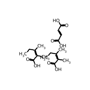 CCC(C)=C(C)C(=O)O.CCC(C)=C(C)C(=O)O.O=C(O)C=CC(=O)O